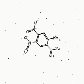 N=C(Br)c1cc([N+](=O)[O-])c([N+](=O)[O-])cc1N